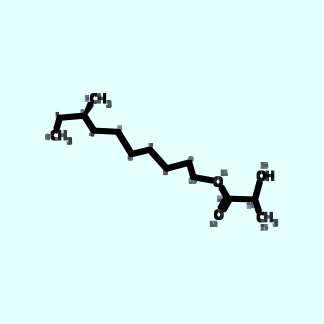 CC[C@@H](C)CCCCCCCOC(=O)C(C)O